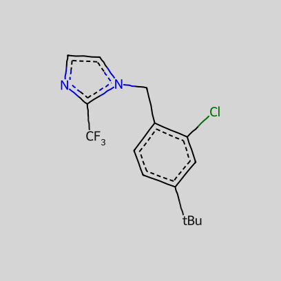 CC(C)(C)c1ccc(Cn2ccnc2C(F)(F)F)c(Cl)c1